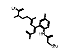 C=C(C)/C=C(\C=C(/C)CCC(C)C(=C)CC)c1cc(C)ccc1NC(=C)CC(C)(C)C